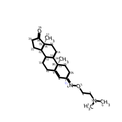 CN(C)CCO/N=C1/C=C2CCC3C(CC[C@]4(C)C(=O)CCC34)[C@@]2(C)CC1